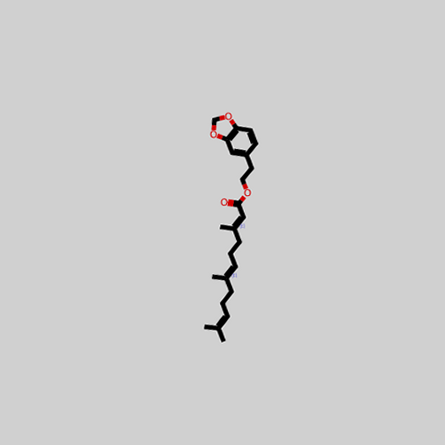 CC(C)=CCC/C(C)=C/CC/C(C)=C/C(=O)OCCc1ccc2c(c1)OCO2